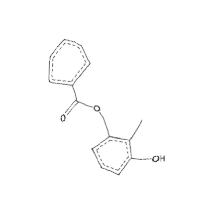 Cc1c(O)cccc1OC(=O)c1ccccc1